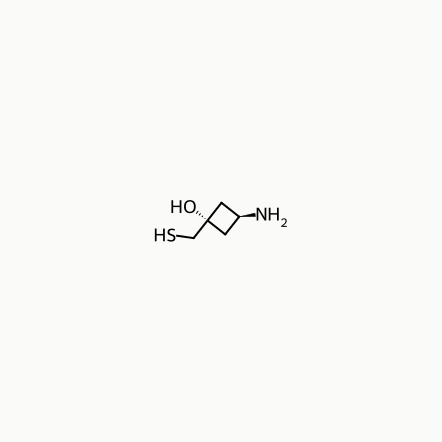 N[C@H]1C[C@@](O)(CS)C1